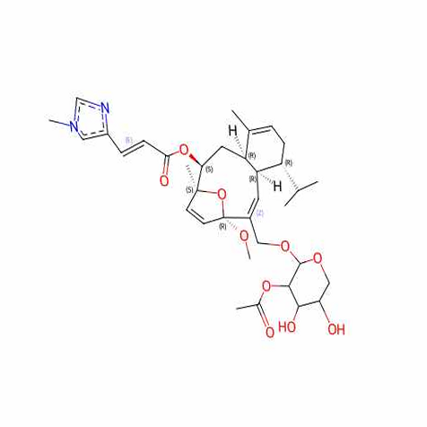 CO[C@]12C=C[C@](C)(O1)[C@@H](OC(=O)/C=C/c1cn(C)cn1)C[C@H]1C(C)=CC[C@H](C(C)C)[C@H]1/C=C\2COC1OCC(O)C(O)C1OC(C)=O